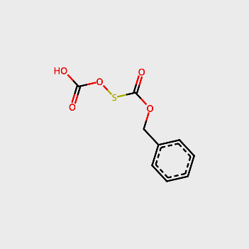 O=C(O)OSC(=O)OCc1ccccc1